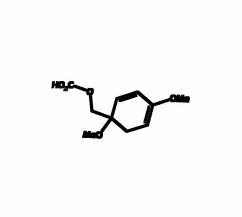 COC1=CCC(COC(=O)O)(OC)C=C1